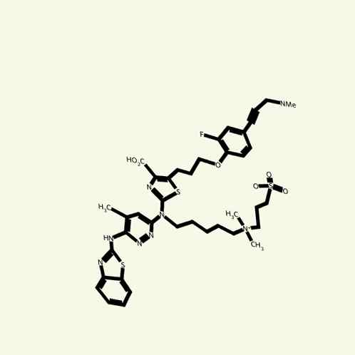 CNCC#Cc1ccc(OCCCc2sc(N(CCCCC[N+](C)(C)CCCS(=O)(=O)[O-])c3cc(C)c(Nc4nc5ccccc5s4)nn3)nc2C(=O)O)c(F)c1